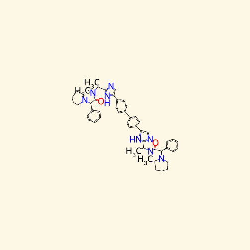 C[C@@H](c1ncc(-c2ccc(-c3ccc(-c4cnc([C@H](C)N(C)C(=O)[C@@H](c5ccccc5)N5CCCCC5)[nH]4)cc3)cc2)[nH]1)N(C)C(=O)[C@@H](c1ccccc1)N1CCCCC1